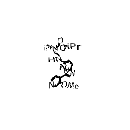 COc1cnccc1-c1cnc2ccc(NCCN(C(=O)OC(C)C)C(C)C)nn12